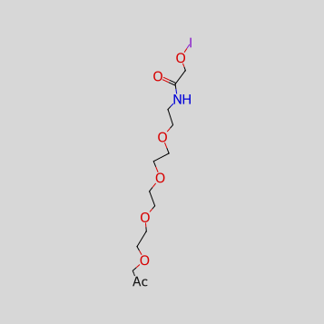 CC(=O)COCCOCCOCCOCCNC(=O)COI